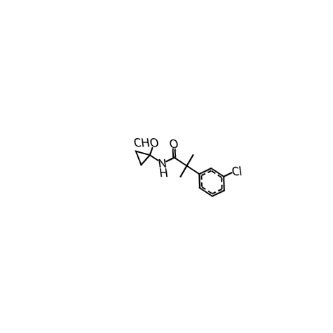 CC(C)(C(=O)NC1(C=O)CC1)c1cccc(Cl)c1